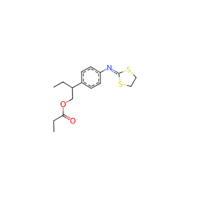 CCC(=O)OCC(CC)c1ccc(N=C2SCCS2)cc1